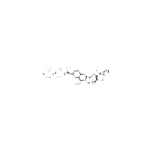 CCc1c2c(cc3ccc(OC(=O)N4CCC(N5CCCCC5)CC4)cc13)-c1cc3c(c(=O)n1C2)COC(=O)[C@]3(O)CC